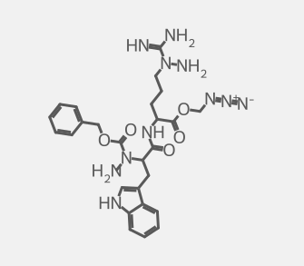 [N-]=[N+]=NCOC(=O)C(CCCN(N)C(=N)N)NC(=O)C(Cc1c[nH]c2ccccc12)N(N)C(=O)OCc1ccccc1